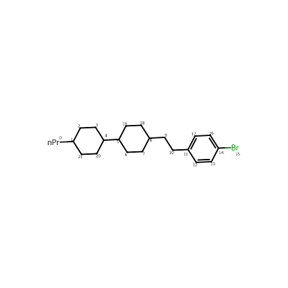 CCCC1CCC(C2CCC(CCc3ccc(Br)cc3)CC2)CC1